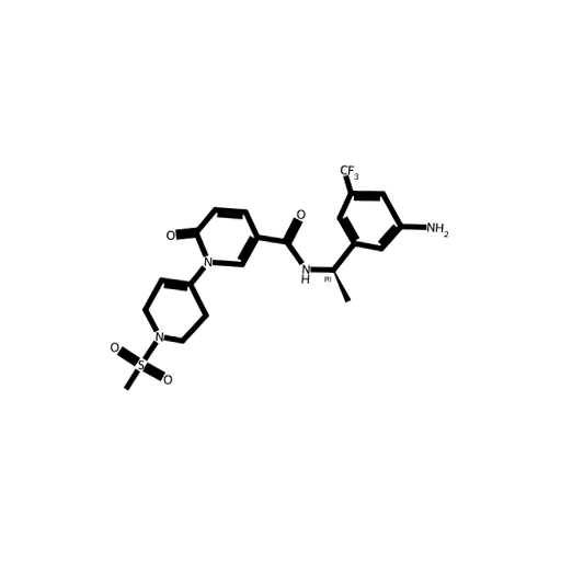 C[C@@H](NC(=O)c1ccc(=O)n(C2=CCN(S(C)(=O)=O)CC2)c1)c1cc(N)cc(C(F)(F)F)c1